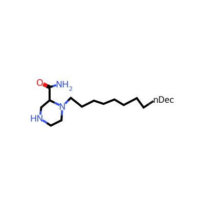 CCCCCCCCCCCCCCCCCCN1CCNCC1C(N)=O